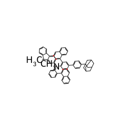 CC1(C)c2ccccc2-c2ccc(N(c3ccccc3-c3cccc4ccccc34)c3ccc(-c4ccc(C56CC7CC(CC(C7)C5)C6)cc4)cc3-c3cccc4ccccc34)cc21